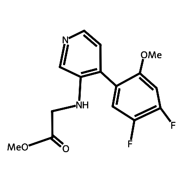 COC(=O)CNc1cnccc1-c1cc(F)c(F)cc1OC